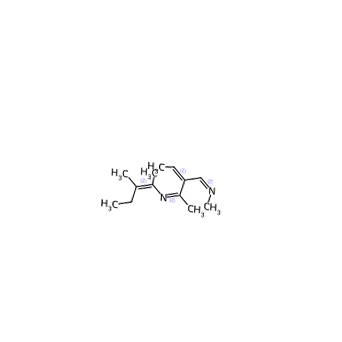 C/C=C(/C=N\C)C(\C)=N/C(C)=C(/C)CC